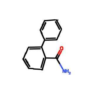 NC(=O)c1ccccc1-c1cc[c]cc1